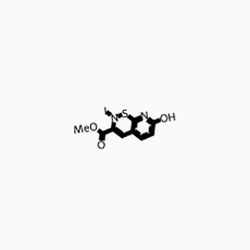 COC(=O)C1=Cc2ccc(O)nc2SN1I